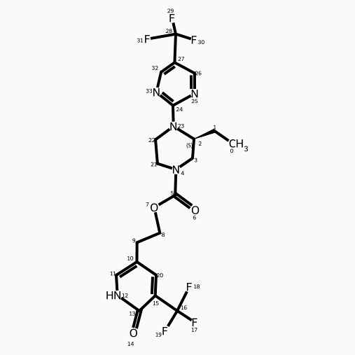 CC[C@H]1CN(C(=O)OCCc2c[nH]c(=O)c(C(F)(F)F)c2)CCN1c1ncc(C(F)(F)F)cn1